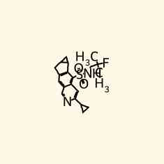 CC(C)(F)CNS(=O)(=O)c1c2c(cc3cnc(C4CC4)cc13)CC1CC21